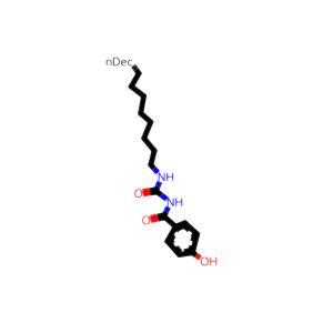 CCCCCCCCCCCCCCCCCCNC(=O)NC(=O)c1ccc(O)cc1